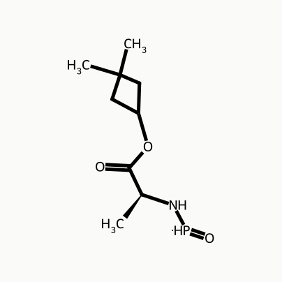 C[C@H](N[PH]=O)C(=O)OC1CC(C)(C)C1